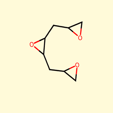 C1OC1CC1OC1CC1CO1